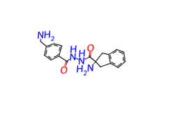 NCc1ccc(C(=O)NNC(=O)C2(N)Cc3ccccc3C2)cc1